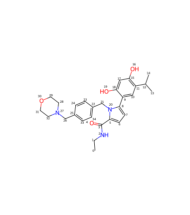 CCNC(=O)c1ccc(-c2cc(C(C)C)c(O)cc2O)n1Cc1ccc(CN2CCOCC2)cc1